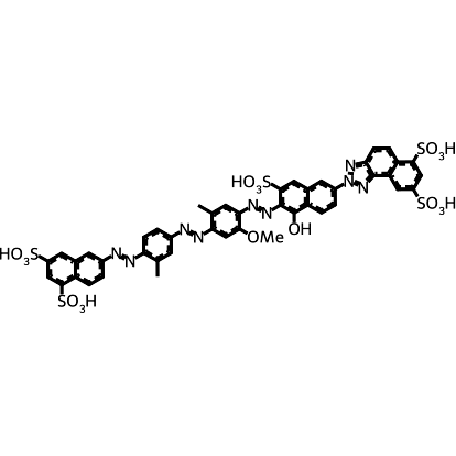 COc1cc(N=Nc2ccc(N=Nc3ccc4c(S(=O)(=O)O)cc(S(=O)(=O)O)cc4c3)c(C)c2)c(C)cc1N=Nc1c(S(=O)(=O)O)cc2cc(-n3nc4ccc5c(S(=O)(=O)O)cc(S(=O)(=O)O)cc5c4n3)ccc2c1O